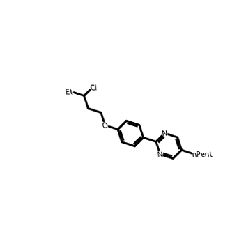 CCCCCc1cnc(-c2ccc(OCCC(Cl)CC)cc2)nc1